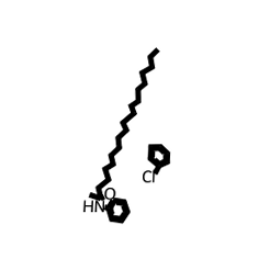 CCCCCCCCCCCCCCCCCCC1(C)Nc2ccccc2O1.Clc1ccccc1